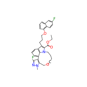 CCOC(=O)c1c(CCCOc2cccc3cc(F)ccc23)c2ccc(F)c3c2n1CCCCOCc1c-3c(C)nn1C